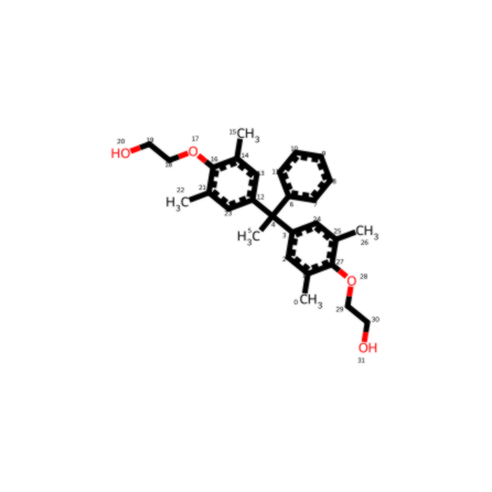 Cc1cc(C(C)(c2ccccc2)c2cc(C)c(OCCO)c(C)c2)cc(C)c1OCCO